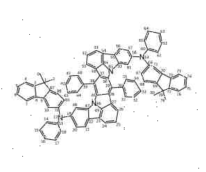 CC1(C)c2ccccc2-c2cc(N(c3ccccc3)c3ccc4c5cccc6c7c(-c8ccccc8)c8c(c(-c9ccccc9)c7n(c4c3)c56)c3cccc4c5ccc(N(c6ccccc6)c6ccc7c(c6)-c6ccccc6C7(C)C)cc5n8c43)ccc21